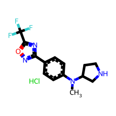 CN(c1ccc(-c2noc(C(F)(F)F)n2)cc1)C1CCNC1.Cl